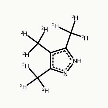 [2H]C([2H])([2H])c1n[nH]c(C([2H])([2H])[2H])c1C([2H])([2H])[2H]